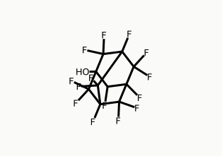 OC12C(F)C3(F)C(F)(F)C(F)(C1(F)F)C(F)(F)C(F)(C2(F)F)C3(F)F